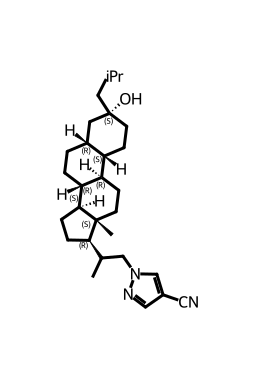 CC(C)C[C@@]1(O)CC[C@H]2[C@H](CC[C@@H]3[C@@H]2CC[C@]2(C)[C@@H](C(C)Cn4cc(C#N)cn4)CC[C@@H]32)C1